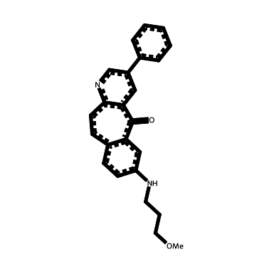 COCCCNc1ccc2ccc3ncc(-c4ccccc4)cc3c(=O)c2c1